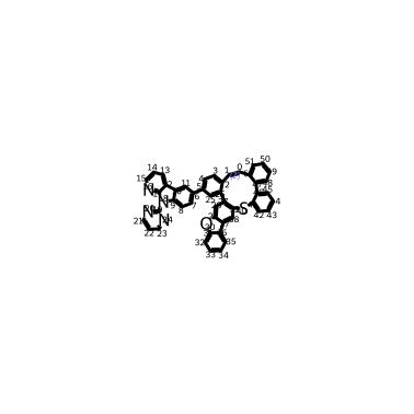 C1=C\c2ccc(-c3ccc4c(c3)c3cccnc3n4-c3ncccn3)cc2-c2cc3oc4ccccc4c3cc2Sc2ccccc2-c2ccccc2/1